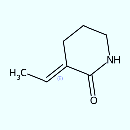 C/C=C1\CCCNC1=O